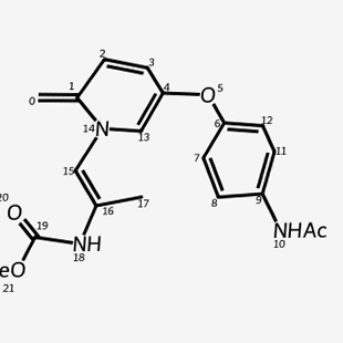 C=C1C=CC(Oc2ccc(NC(C)=O)cc2)=CN1/C=C(\C)NC(=O)OC